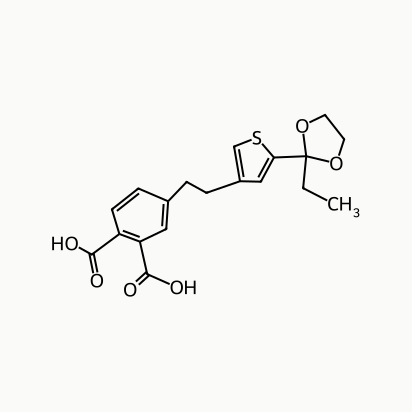 CCC1(c2cc(CCc3ccc(C(=O)O)c(C(=O)O)c3)cs2)OCCO1